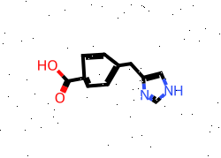 O=C(O)c1ccc(Cc2c[nH]cn2)cc1